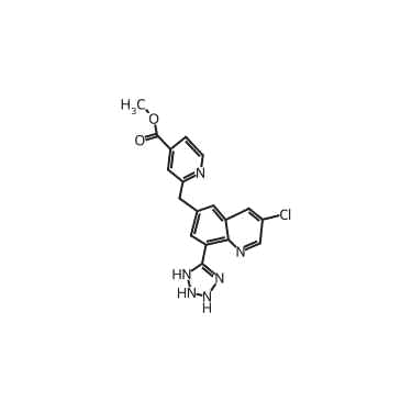 COC(=O)c1ccnc(Cc2cc(C3=NNNN3)c3ncc(Cl)cc3c2)c1